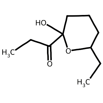 CCC(=O)C1(O)CCCC(CC)O1